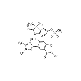 CC(C)OC(=O)c1cc(-c2nn(C)c(C(F)(F)F)c2Br)c(F)cc1Cl.CCOC1Oc2ccc(OS(C)(=O)=O)cc2C1(C)C